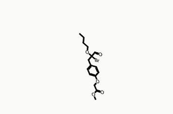 CCCCOC(Br)(C=O)Cc1ccc(OCC(=O)OC)cc1